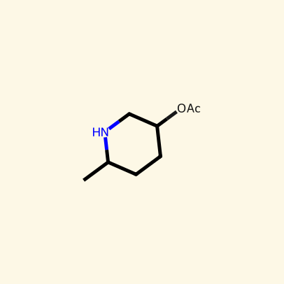 CC(=O)OC1CCC(C)NC1